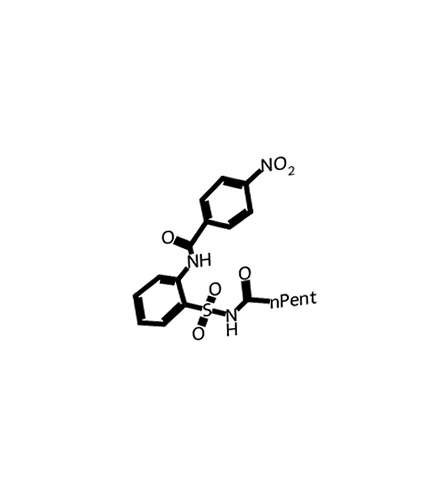 CCCCCC(=O)NS(=O)(=O)c1ccccc1NC(=O)c1ccc([N+](=O)[O-])cc1